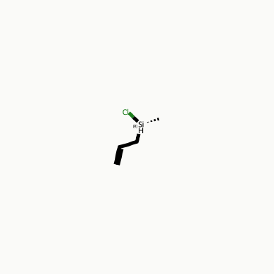 C=CC[Si@@H](C)Cl